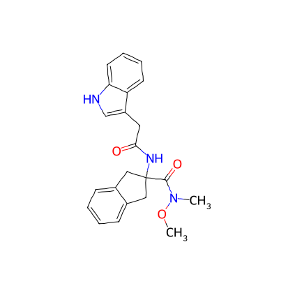 CON(C)C(=O)C1(NC(=O)Cc2c[nH]c3ccccc23)Cc2ccccc2C1